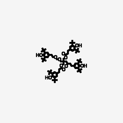 CC(C)(C)c1cc(CCOCOCC(COC(=O)CCc2cc(C(C)(C)C)c(O)c(C(C)(C)C)c2)(COC(=O)CCc2cc(C(C)(C)C)c(O)c(C(C)(C)C)c2)CC(=O)CCc2cc(C(C)(C)C)c(O)c(C(C)(C)C)c2)cc(C(C)(C)C)c1O